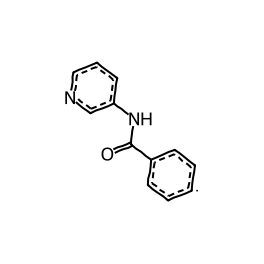 O=C(Nc1cccnc1)c1cc[c]cc1